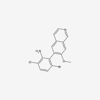 COc1cc2cnccc2cc1-c1c(Br)ccc(Cl)c1N